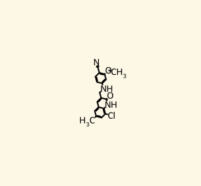 COc1cc(NCc2cc3cc(C)cc(Cl)c3[nH]c2=O)ccc1C#N